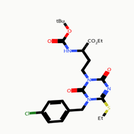 CCOC(=O)C(CCn1c(=O)nc(SCC)n(Cc2ccc(Cl)cc2)c1=O)NC(=O)OC(C)(C)C